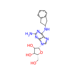 Nc1nc(NC2Cc3ccccc3C2)c2ncn([C@@H]3O[C@H](CO)C(O)C3O)c2n1